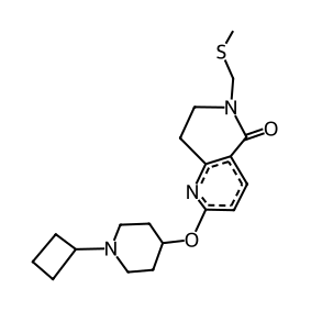 CSCN1CCc2nc(OC3CCN(C4CCC4)CC3)ccc2C1=O